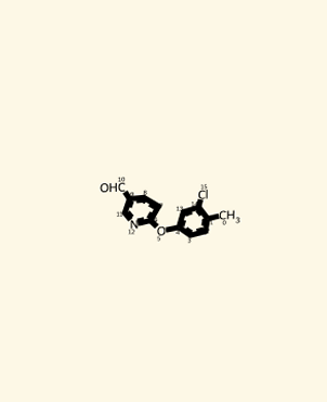 Cc1ccc(Oc2ccc(C=O)cn2)cc1Cl